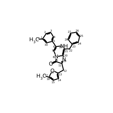 Cc1cccc(-c2cn3c(=O)c(Cc4ccc(C)o4)nc-3c(Cc3ccccc3)[nH]2)c1